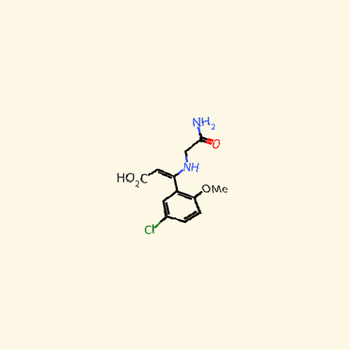 COc1ccc(Cl)cc1/C(=C\C(=O)O)NCC(N)=O